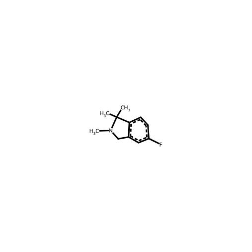 CN1Cc2cc(F)ccc2C1(C)C